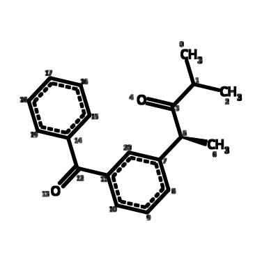 CC(C)C(=O)[C@@H](C)c1cccc(C(=O)c2ccccc2)c1